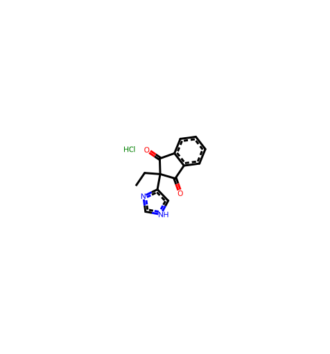 CCC1(c2c[nH]cn2)C(=O)c2ccccc2C1=O.Cl